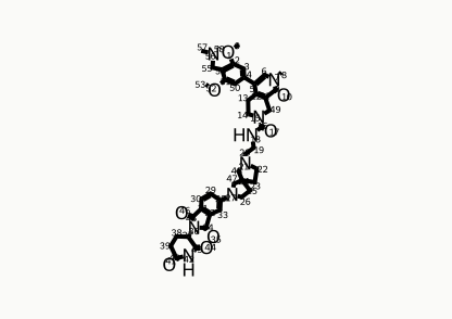 COc1cc(-c2cn(C)c(=O)c3c2CCN(C(=O)NCCN2CCC4(CCN(c5ccc6c(c5)C(=O)N(C5CCC(=O)NC5=O)C6=O)C4)C2)C3)cc(OC)c1CN(C)C